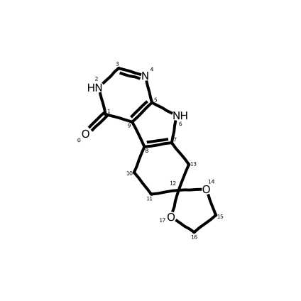 O=c1[nH]cnc2[nH]c3c(c12)CCC1(C3)OCCO1